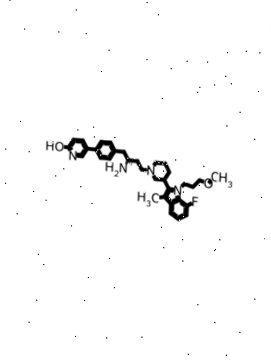 COCCCn1c(C2CCCN(CC[C@H](N)Cc3ccc(-c4ccc(O)nc4)cc3)C2)c(C)c2cccc(F)c21